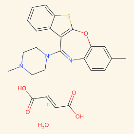 Cc1ccc2c(c1)Oc1sc3ccccc3c1C(N1CCN(C)CC1)=N2.O.O=C(O)/C=C/C(=O)O